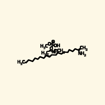 C=C(N)CCCCCCCCCC=CCCCCCCCC.CCNCC.COS(=O)(=O)O